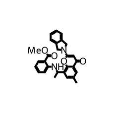 COC(=O)c1ccccc1NC(C)c1cc(C)cc2c(=O)cc(N3Cc4ccccc4C3)oc12